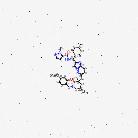 CCn1nccc1C(=O)N[C@H](c1cn2nc(CC3(C)C[C@@H](C(F)(F)F)CN(Cc4ccc(OC)cc4)C3=O)ccc2n1)C1CCC(C)CC1